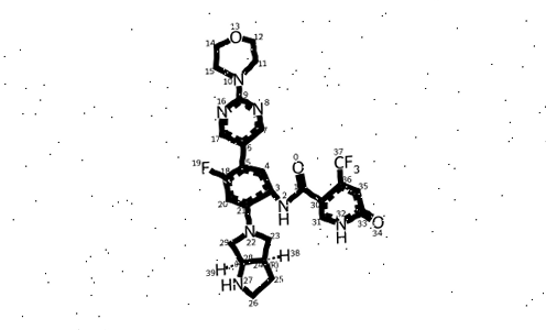 O=C(Nc1cc(-c2cnc(N3CCOCC3)nc2)c(F)cc1N1C[C@H]2CCN[C@H]2C1)c1c[nH]c(=O)cc1C(F)(F)F